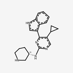 c1ccc2c(-c3nc(N[C@H]4CCCNC4)ncc3C3CC3)c[nH]c2c1